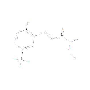 CON(C)C(=O)/C=C/c1cc(C(F)(F)F)ncc1Br